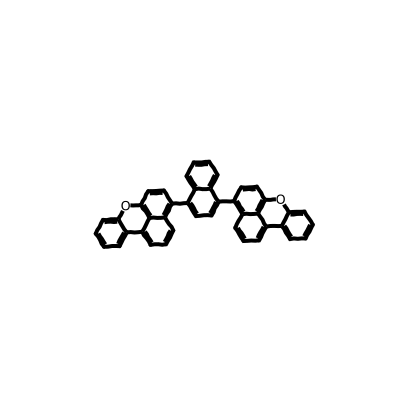 c1ccc2c(c1)Oc1ccc(-c3ccc(-c4ccc5c6c(cccc46)-c4ccccc4O5)c4ccccc34)c3cccc-2c13